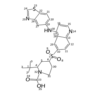 CC(C)(C)C1CC(S(=O)(=O)c2ccc3nccc(Nc4ccc5scnc5c4)c3c2)CCN1C(=O)O